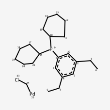 CCc1cc(CC)cc(P(C2CCCCC2)C2CCCCC2)c1.Cl[CH2][Pd]